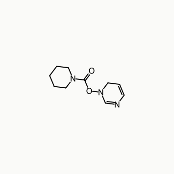 O=C(ON1C=NC=CC1)N1CCCCC1